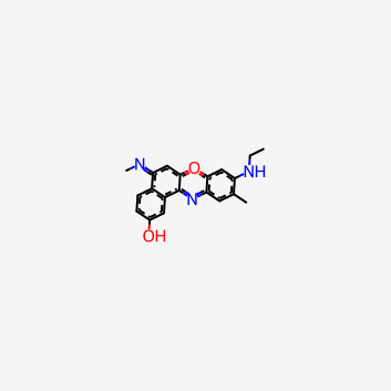 CCNc1cc2oc3c/c(=N/C)c4ccc(O)cc4c-3nc2cc1C